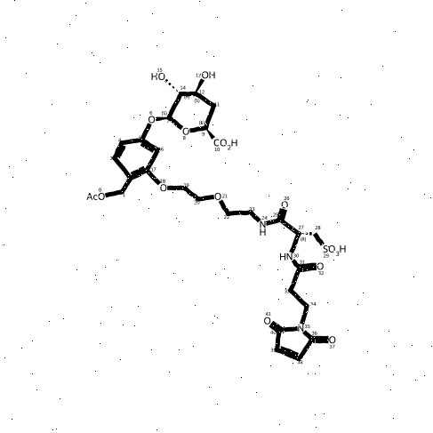 CC(=O)OCc1ccc(O[C@@H]2O[C@H](C(=O)O)C[C@H](O)[C@H]2O)cc1OCCOCCNC(=O)[C@H](CS(=O)(=O)O)NC(=O)CCN1C(=O)C=CC1=O